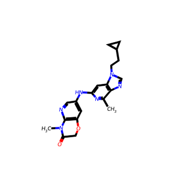 Cc1nc(Nc2cnc3c(c2)OCC(=O)N3C)cc2c1ncn2CCC1CC1